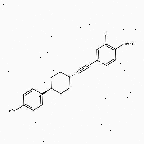 CCCCCc1ccc(C#C[C@H]2CC[C@H](c3ccc(CCC)cc3)CC2)cc1F